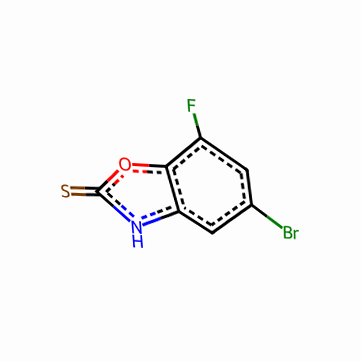 Fc1cc(Br)cc2[nH]c(=S)oc12